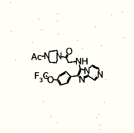 CC(=O)N1CCN(C(=O)CNc2c(-c3ccc(OC(F)(F)F)cc3)nc3cnccn23)CC1